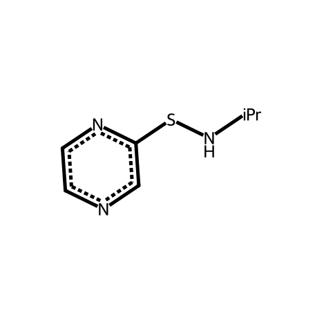 CC(C)NSc1cnccn1